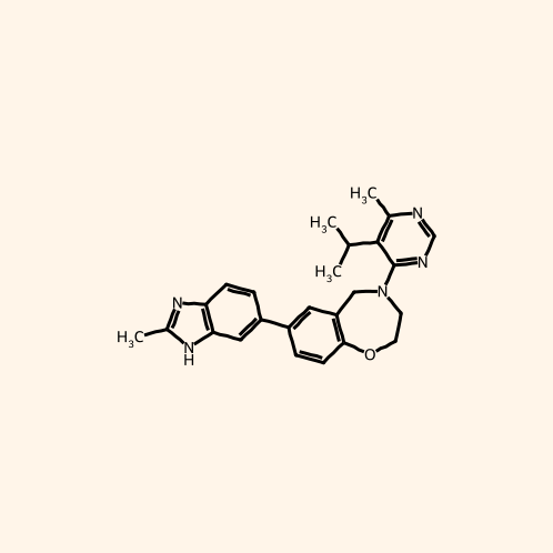 Cc1nc2ccc(-c3ccc4c(c3)CN(c3ncnc(C)c3C(C)C)CCO4)cc2[nH]1